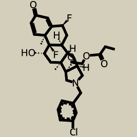 CCC(=O)OCC(=O)[C@@]12CN(Cc3cccc(Cl)c3)C[C@@H]1C[C@H]1[C@@H]3C[C@H](F)C4=CC(=O)C=C[C@]4(C)[C@@]3(F)[C@@H](O)C[C@@]12C